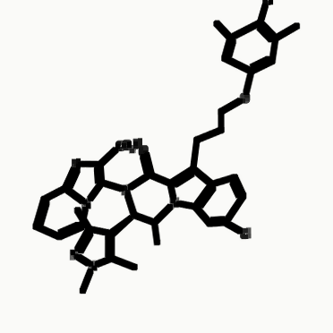 Cc1cc(OCCCc2c3n(c4cc(Cl)ccc24)C(C)[C@@H](c2c(C)nn(C)c2C)N(c2c(C(=O)O)nc4ccccn24)C3=O)cc(C)c1Cl